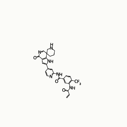 C=CC(=O)Nc1cc(C(=O)Nc2cc(-c3cc4c([nH]3)C3(C=NC4=O)CCCNC3)ccn2)ccc1C(F)(F)F